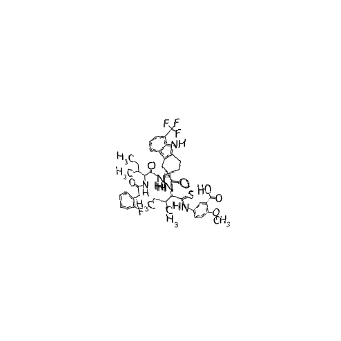 CCC(C)C(NC(=O)Cc1ccccc1F)C(=O)N[C@@]1(C(=O)NC(C(=S)Nc2ccc(OC)c(C(=O)O)c2)C(C)CC)CCc2[nH]c3c(C(F)(F)F)cccc3c2C1